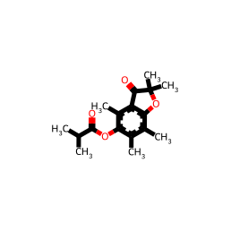 Cc1c(C)c2c(c(C)c1OC(=O)C(C)C)C(=O)C(C)(C)O2